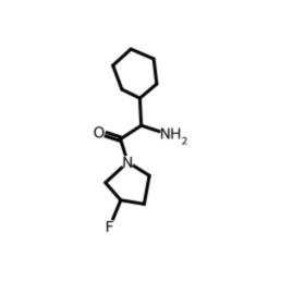 NC(C(=O)N1CCC(F)C1)C1CCCCC1